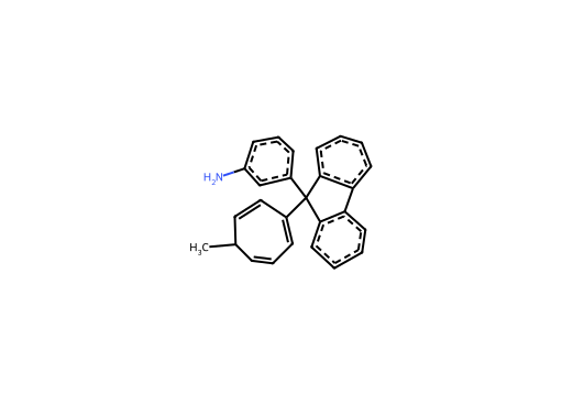 CC1C=CC=C(C2(c3cccc(N)c3)c3ccccc3-c3ccccc32)C=C1